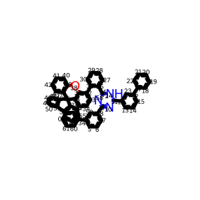 c1ccc(-c2cccc(C3=NC(c4cccc(-c5ccccc5)c4)NC(c4ccccc4-c4cccc5c4Oc4ccccc4C54c5ccccc5-c5ccccc54)=N3)c2)cc1